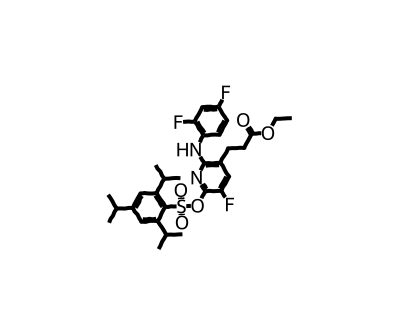 CCOC(=O)CCc1cc(F)c(OS(=O)(=O)c2c(C(C)C)cc(C(C)C)cc2C(C)C)nc1Nc1ccc(F)cc1F